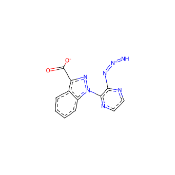 N=[N+]=Nc1nccnc1-n1nc(C(=O)[O-])c2ccccc21